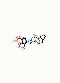 CC(=O)Oc1c(C(=O)O)ccc(N2CCC(CC3Cc4ccccc4C3=C=O)CC2)c1C